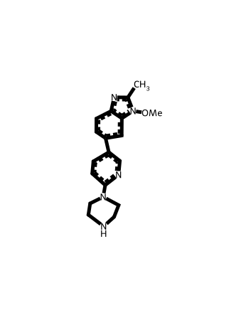 COn1c(C)nc2ccc(-c3ccc(N4CCNCC4)nc3)cc21